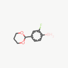 Bc1ccc(C2OCCCO2)cc1F